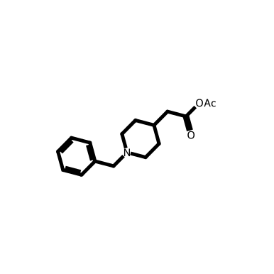 CC(=O)OC(=O)CC1CCN(Cc2ccccc2)CC1